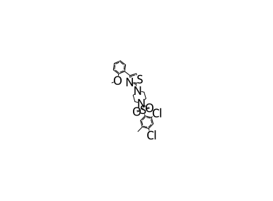 COc1ccccc1-c1csc(N2CCN(S(=O)(=O)c3cc(C)c(Cl)cc3Cl)CC2)n1